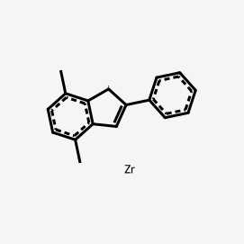 Cc1ccc(C)c2c1[CH]C(c1ccccc1)=C2.[Zr]